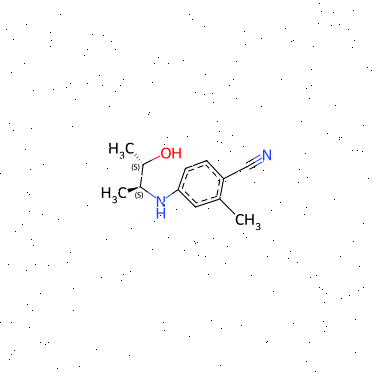 Cc1cc(N[C@@H](C)[C@H](C)O)ccc1C#N